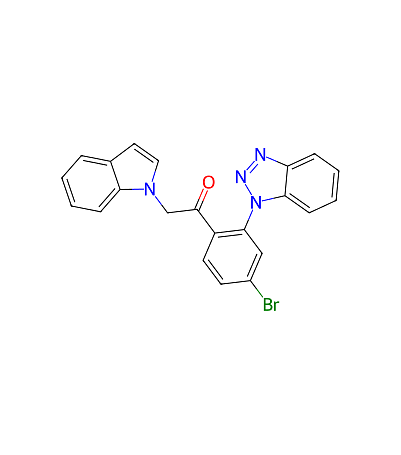 O=C(Cn1ccc2ccccc21)c1ccc(Br)cc1-n1nnc2ccccc21